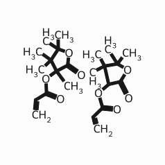 C=CC(=O)OC1(C)C(=O)OC(C)(C)C1(C)C.C=CC(=O)OC1C(=O)OC(C)(C)C1(C)C